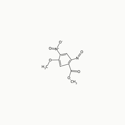 COC(=O)c1cc(OC)c([N+](=O)[O-])cc1N=O